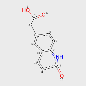 O=C(O)Cc1ccc2[nH]c(=O)ccc2c1